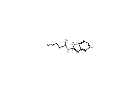 CSCCC(=O)Nc1nc2ccccc2[nH]1